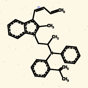 C=C/C=C\c1c(C)n(CC(C)N(c2ccccc2)c2ccccc2C(=C)C)c2ccccc12